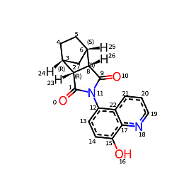 O=C1[C@@H]2[C@@H]3CC[C@@H](C3)[C@@H]2C(=O)N1c1ccc(O)c2ncccc12